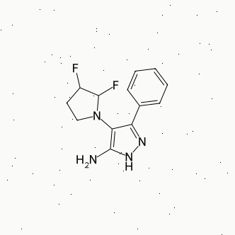 Nc1[nH]nc(-c2ccccc2)c1N1CCC(F)C1F